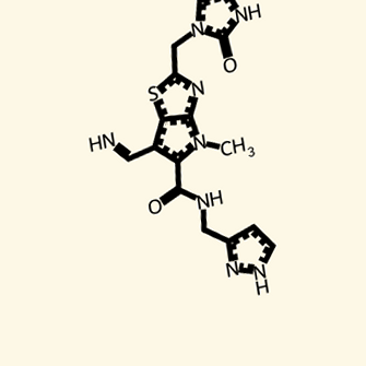 Cn1c(C(=O)NCc2cc[nH]n2)c(C=N)c2sc(Cn3cc[nH]c3=O)nc21